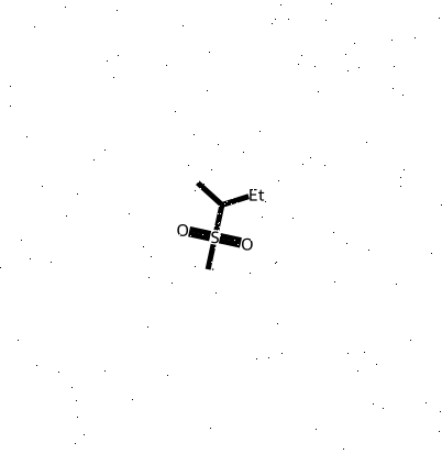 [CH2]S(=O)(=O)C(C)CC